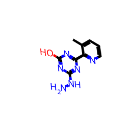 Cc1cccnc1-c1nc(O)nc(NN)n1